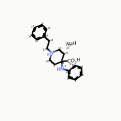 O=C(O)C1(Nc2ccccc2)CCN(CCc2ccccc2)CC1.[NaH]